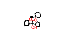 C#CC1(OC(=O)C(O)(c2ccccc2)C2CCCC2)CCCCC1